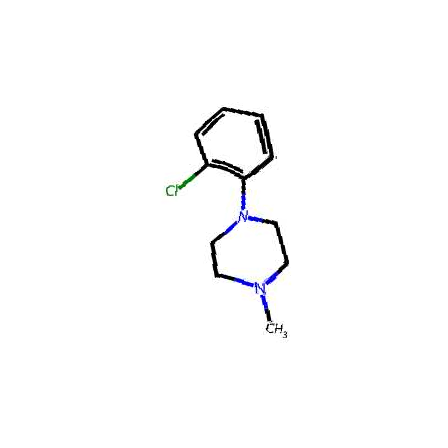 CN1CCN(c2[c]cccc2Cl)CC1